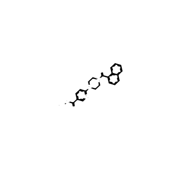 CCCC(C)NC(=O)c1ccc(N2CCN(C(=O)c3cccc4ccccc34)CC2)nc1